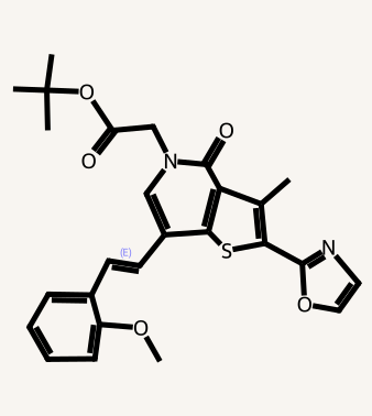 COc1ccccc1/C=C/c1cn(CC(=O)OC(C)(C)C)c(=O)c2c(C)c(-c3ncco3)sc12